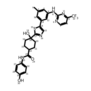 Cc1cc(Nc2nccc(C(F)(F)F)n2)cc(-c2cnc(C3(O)CCC(C(=O)Nc4ccc(O)cc4)CC3)s2)c1